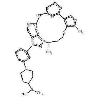 C[C@H]1CCOc2c(cnn2C)-c2nccc(n2)Nc2cc3c(cn2)c(-c2cccc(N4CCC(N(C)C)CC4)c2)nn31